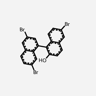 Oc1ccc2cc(Br)ccc2c1-c1cc(Br)cc2ccc(Br)cc12